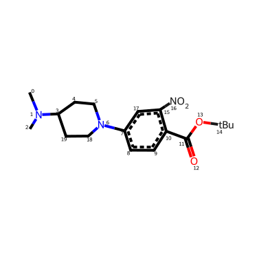 CN(C)C1CCN(c2ccc(C(=O)OC(C)(C)C)c([N+](=O)[O-])c2)CC1